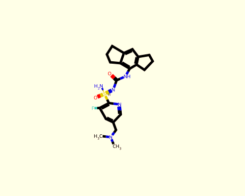 CN(C)Cc1cnc([S@](N)(=O)=NC(=O)Nc2c3c(cc4c2CCC4)CCC3)c(F)c1